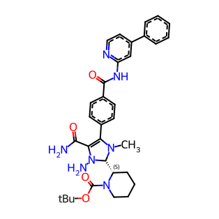 CN1C(c2ccc(C(=O)Nc3cc(-c4ccccc4)ccn3)cc2)=C(C(N)=O)N(N)C1[C@@H]1CCCCN1C(=O)OC(C)(C)C